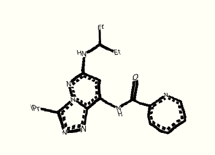 CCC(CC)Nc1cc(NC(=O)c2ccccn2)c2nnc(C(C)C)n2n1